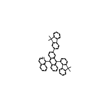 CC1(C)c2ccccc2-c2ccc(-c3ccc4c(-c5nccc6ccccc56)c5ccccc5c(-c5cccc6c5-c5ccccc5C6(C)C)c4c3)cc21